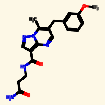 Cc1c(Cc2cccc(OC(F)(F)F)c2)cnc2c(C(=O)NCCC(N)=O)cnn12